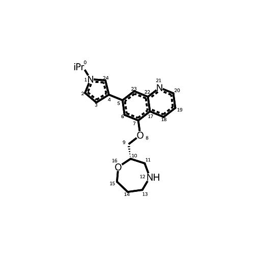 CC(C)n1ccc(-c2cc(OC[C@@H]3CNCCCO3)c3cccnc3c2)c1